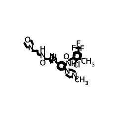 Cc1cc(C(F)(F)F)cc(C(=O)Nc2cc(-n3cc(C(=O)NCCCN4CCOCC4)nn3)ccc2N2CCN(C)CC2)c1Cl